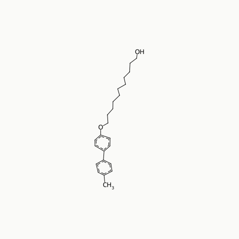 Cc1ccc(-c2ccc(OCCCCCCCCCCCO)cc2)cc1